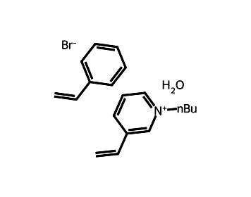 C=Cc1ccc[n+](CCCC)c1.C=Cc1ccccc1.O.[Br-]